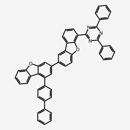 c1ccc(-c2ccc(-c3cc(-c4ccc5oc6c(-c7nc(-c8ccccc8)nc(-c8ccccc8)n7)cccc6c5c4)cc4oc5ccccc5c34)cc2)cc1